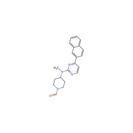 CN(c1nccc(-c2ccc3ccccc3c2)n1)C1CCN(C=O)CC1